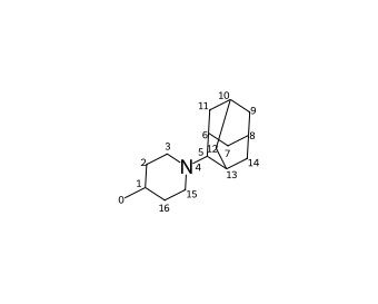 CC1CCN(C2C3CC4CC(C3)CC2C4)CC1